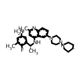 Cc1cc(N[C@H](C)c2cc(N)cc(C)c2F)c2cc(N3CCN(N4CC[CH]CC4)CC3)ccc2n1